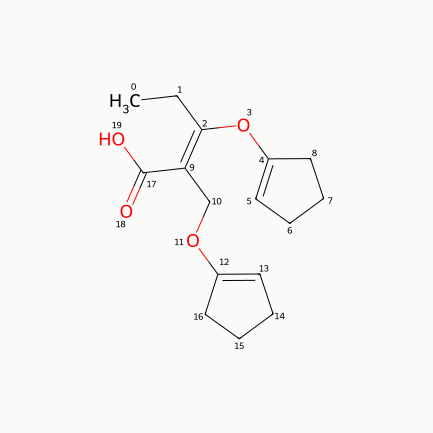 CCC(OC1=CCCC1)=C(COC1=CCCC1)C(=O)O